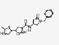 CC1NCC(C2CC(C(=O)NC3CNN(Cc4ccccc4)C3)NO2)S1